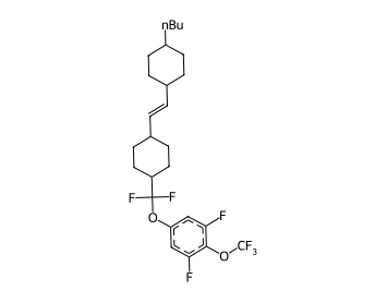 CCCCC1CCC(/C=C/C2CCC(C(F)(F)Oc3cc(F)c(OC(F)(F)F)c(F)c3)CC2)CC1